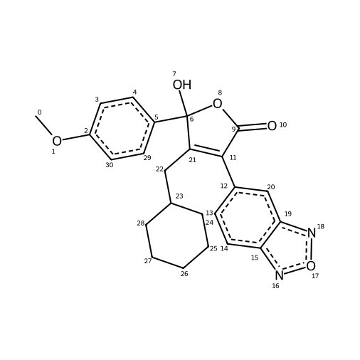 COc1ccc(C2(O)OC(=O)C(c3ccc4nonc4c3)=C2CC2CCCCC2)cc1